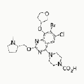 CN1CCCC1COc1nc(N2CCN(C(=O)O)CC2)c2cc(Cl)c(Br)c(OC3CCOC3)c2n1